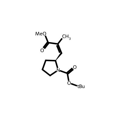 COC(=O)C(C)=C[C@@H]1CCCN1C(=O)OC(C)(C)C